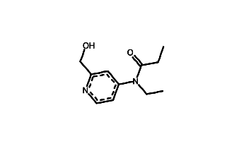 CCC(=O)N(CC)c1ccnc(CO)c1